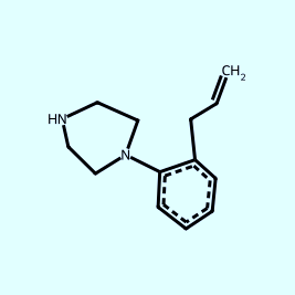 C=CCc1ccccc1N1CCNCC1